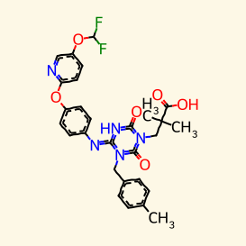 Cc1ccc(Cn2c(=O)n(CC(C)(C)C(=O)O)c(=O)[nH]/c2=N\c2ccc(Oc3ccc(OC(F)F)cn3)cc2)cc1